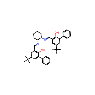 CC(C)(C)c1cc(/C=N/[C@@H]2CCCC[C@H]2/N=C/c2cc(C(C)(C)C)cc(-c3ccccc3)c2O)c(O)c(-c2ccccc2)c1